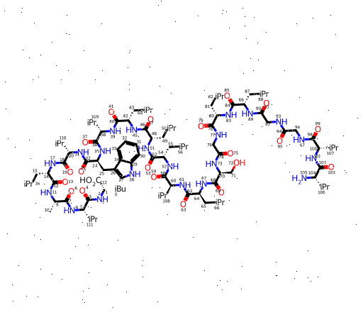 CC[C@H](C)[C@H](NC(=O)[C@@H](NC(=O)[C@H](C)NC(=O)[C@H](CC(C)C)NC(=O)[C@@H](NC(=O)[C@H](Cc1c[nH]c2ccccc12)NC(=O)[C@@H](NC(=O)[C@H](CC(C)C)NC(=O)[C@H](CC(C)C)NC(=O)[C@H](CC(C)C)NC(=O)[C@@H](NC(=O)[C@H](CC(C)C)NC(=O)[C@H](CO)NC(=O)CNC(=O)[C@H](CC(C)C)NC(=O)[C@H](CC(C)C)NC(=O)CNC(=O)CNC(=O)[C@@H](NC(=O)[C@@H](N)C(C)C)C(C)C)C(C)C)C(C)C)C(C)C)C(C)C)C(=O)O